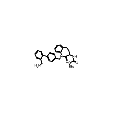 CC(C)(C)OC(=O)NC1CCc2ccccc2N(Cc2ccc(-c3ccccc3CN)cc2)C1=O